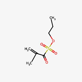 C=C(C)C(=O)S(=O)(=O)OCCC